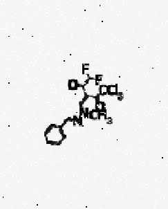 CN(C=C(C(=O)C(F)F)C(=O)C(Cl)(Cl)Cl)N=Cc1ccccc1